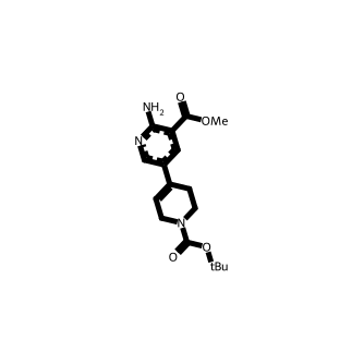 COC(=O)c1cc(C2=CCN(C(=O)OC(C)(C)C)CC2)cnc1N